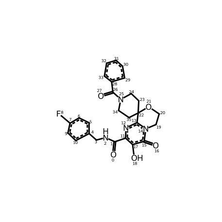 O=C(NCc1ccc(F)cc1)c1nc2n(c(=O)c1O)CCOC21CCN(C(=O)c2ccccc2)CC1